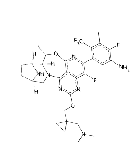 Cc1c(F)c(N)cc(-c2nc3c4c(nc(OCC5(CN(C)C)CC5)nc4c2F)N2C[C@H]4CC[C@H](N4)[C@H]2[C@H](C)O3)c1C(F)(F)F